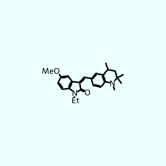 CCN1C(=O)/C(=C\c2ccc3c(c2)C(C)CC(C)(C)N3C)c2cc(OC)ccc21